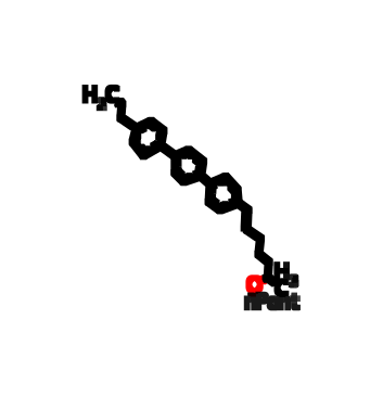 C=CCc1ccc(-c2ccc(-c3ccc(C=CCCCC(C)OCCCCC)cc3)cc2)cc1